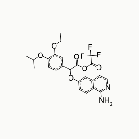 CCOc1cc(C(Oc2ccc3c(N)nccc3c2)C(=O)OC(=O)C(F)(F)F)ccc1OC(C)C